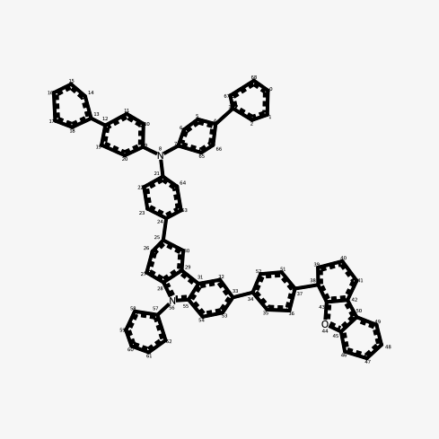 c1ccc(-c2ccc(N(c3ccc(-c4ccccc4)cc3)c3ccc(-c4ccc5c(c4)c4cc(-c6ccc(-c7cccc8c7oc7ccccc78)cc6)ccc4n5-c4ccccc4)cc3)cc2)cc1